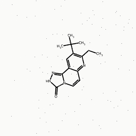 CCc1nc2ccn3c(=O)[nH]nc3c2cc1C(C)(C)C